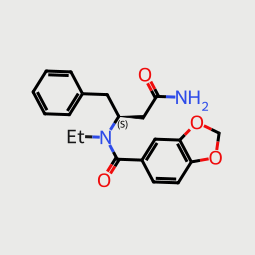 CCN(C(=O)c1ccc2c(c1)OCO2)[C@H](CC(N)=O)Cc1ccccc1